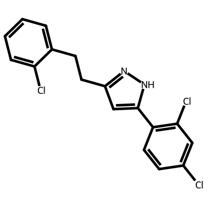 Clc1ccc(-c2cc(CCc3ccccc3Cl)n[nH]2)c(Cl)c1